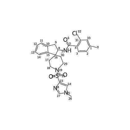 Cc1ccc(C(=O)NC2Cc3ccccc3C23CCN(S(=O)(=O)c2cn(C)cn2)CC3)c(Cl)c1